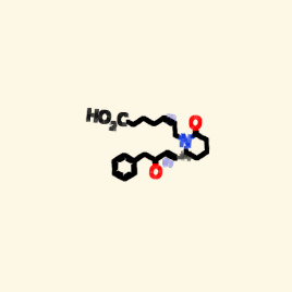 O=C(O)CCC/C=C\CN1C(=O)CCC[C@@H]1/C=C/C(=O)Cc1ccccc1